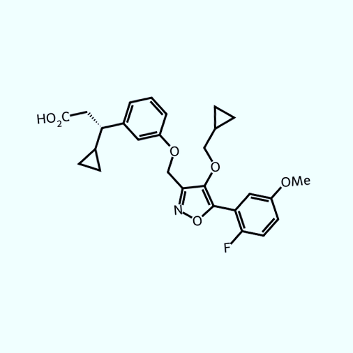 COc1ccc(F)c(-c2onc(COc3cccc([C@@H](CC(=O)O)C4CC4)c3)c2OCC2CC2)c1